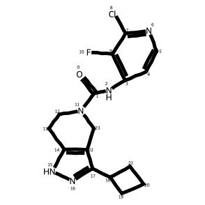 O=C(Nc1ccnc(Cl)c1F)N1CCc2[nH]nc(C3CCC3)c2C1